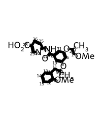 COC[C@H](C)Oc1cc(O[C@@H](C)Cc2ccccc2OC)cc(C(=O)Nc2ccc(C(=O)O)cn2)c1